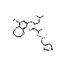 CC(C)CN(Cc1cc(Cl)c2c(c1)OCCCO2)C(=O)C(C)CNCc1ccccc1